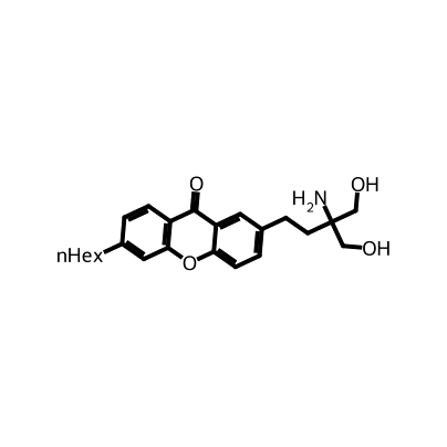 CCCCCCc1ccc2c(=O)c3cc(CCC(N)(CO)CO)ccc3oc2c1